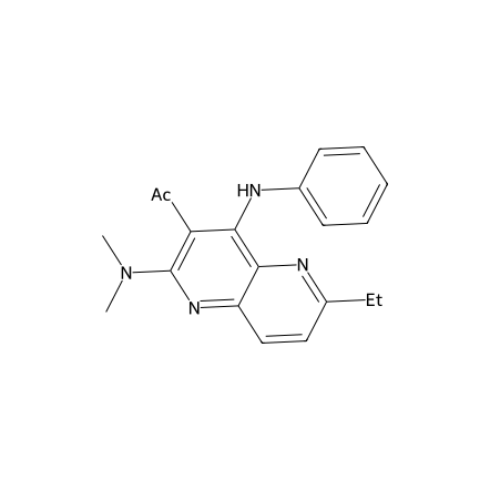 CCc1ccc2nc(N(C)C)c(C(C)=O)c(Nc3ccccc3)c2n1